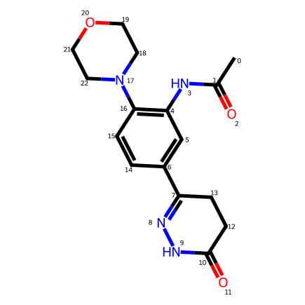 CC(=O)Nc1cc(C2=NNC(=O)CC2)ccc1N1CCOCC1